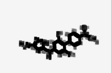 C[S+]([O-])c1ccc(-c2c(F)cc(Nc3nc(N)n[nH]3)cc2F)cc1